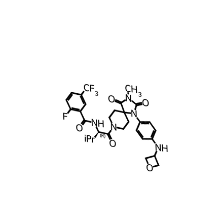 CC(C)[C@@H](NC(=O)c1cc(C(F)(F)F)ccc1F)C(=O)N1CCC2(CC1)C(=O)N(C)C(=O)N2c1ccc(NC2COC2)cc1